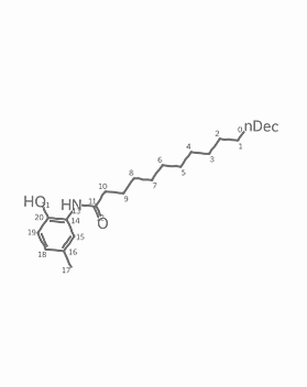 CCCCCCCCCCCCCCCCCCCCC(=O)Nc1cc(C)ccc1O